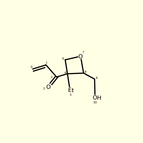 C=CC(=O)C1(CC)COC1CO